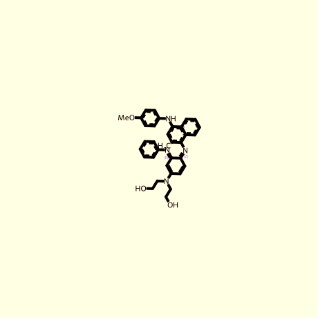 COc1ccc(Nc2cc(C)c(/N=C3/C=CC(N(CCO)CCO)=C/C3=N\c3ccccc3)c3ccccc23)cc1